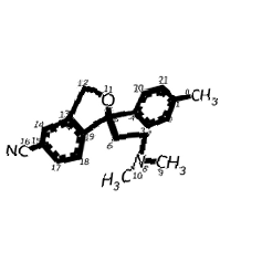 Cc1ccc(C2(CCN(C)C)OCc3cc(C#N)ccc32)cc1